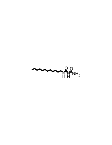 CCCCCCCCCCCCNC(=O)NC(N)=O